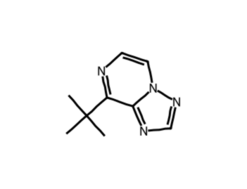 CC(C)(C)c1nccn2ncnc12